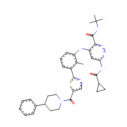 BC(B)(B)NC(=O)c1nnc(NC(=O)C2CC2)cc1Nc1cccc(-c2ncc(C(=O)N3CCC(c4ccccc4)CC3)s2)c1OC